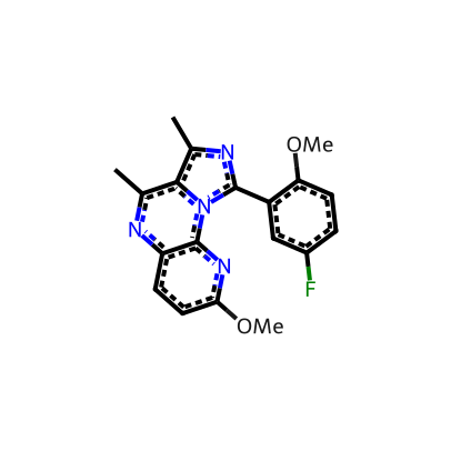 COc1ccc2nc(C)c3c(C)nc(-c4cc(F)ccc4OC)n3c2n1